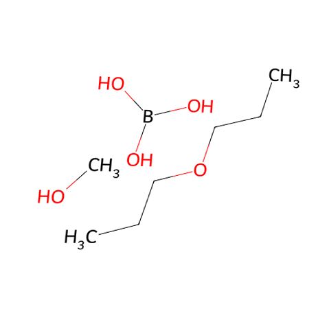 CCCOCCC.CO.OB(O)O